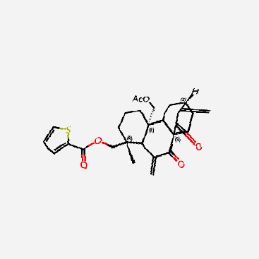 C=C1C(=O)[C@@]23CC[C@@H](CC2[C@]2(COC(C)=O)CCC[C@@](C)(COC(=O)c4cccs4)C12)C(=C)C3=O